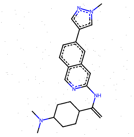 C=C(Nc1cc2cc(-c3cnn(C)c3)ccc2cn1)C1CCC(N(C)C)CC1